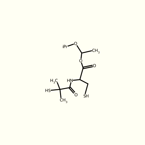 CC(C)OC(C)OC(=O)C(CS)NC(=O)C(C)(C)S